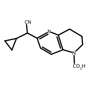 N#CC(c1ccc2c(n1)CCCN2C(=O)O)C1CC1